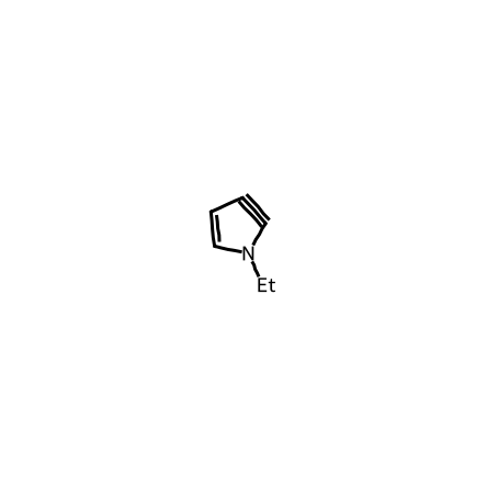 CCn1c#ccc1